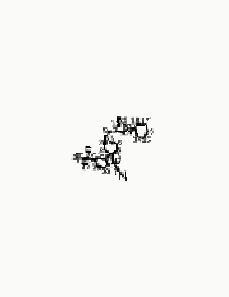 N#CC1OC2(CCN(Cc3cnn(-c4ccccc4)c3)CC2)c2cc(C(F)(F)F)ccc21